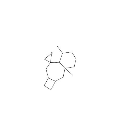 CC1CCCC2(C)CC3CCC3CC3(CS3)C12